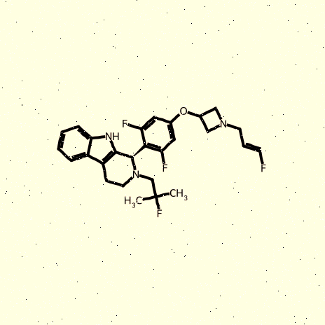 CC(C)(F)CN1CCc2c([nH]c3ccccc23)[C@H]1c1c(F)cc(OC2CN(C/C=C/F)C2)cc1F